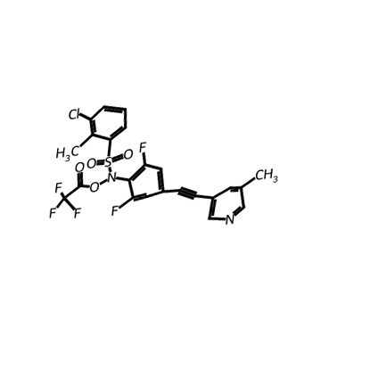 Cc1cncc(C#Cc2cc(F)c(N(OC(=O)C(F)(F)F)S(=O)(=O)c3cccc(Cl)c3C)c(F)c2)c1